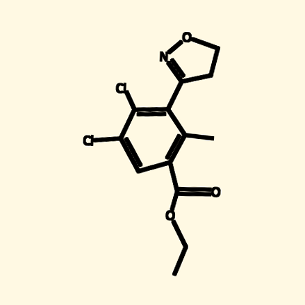 CCOC(=O)c1cc(Cl)c(Cl)c(C2=NOCC2)c1C